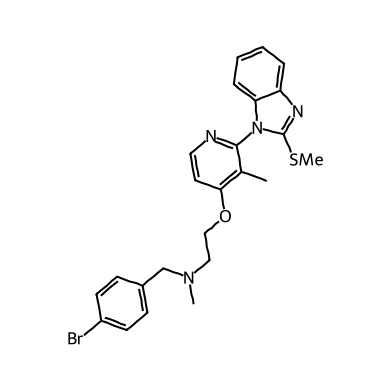 CSc1nc2ccccc2n1-c1nccc(OCCN(C)Cc2ccc(Br)cc2)c1C